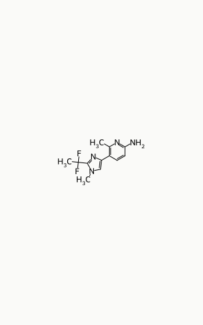 Cc1nc(N)ccc1-c1cn(C)c(C(C)(F)F)n1